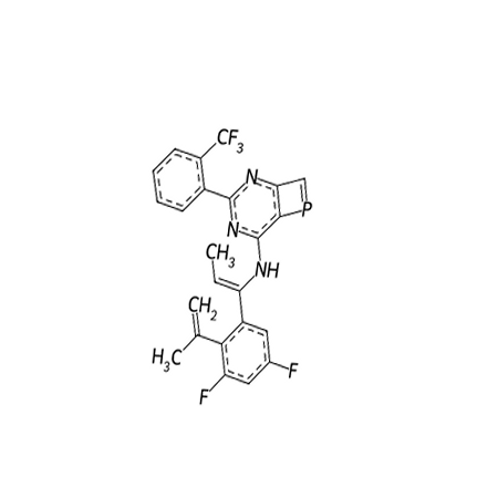 C=C(C)c1c(F)cc(F)cc1/C(=C/C)Nc1nc(-c2ccccc2C(F)(F)F)nc2c1P=C2